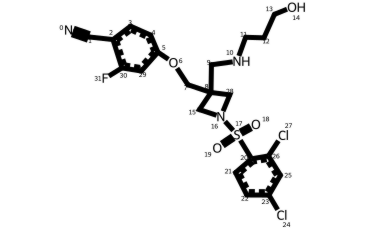 N#Cc1ccc(OCC2(CNCCCO)CN(S(=O)(=O)c3ccc(Cl)cc3Cl)C2)cc1F